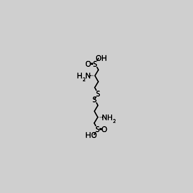 N[C@@H](CCSSCC[C@H](N)CS(=O)O)CS(=O)O